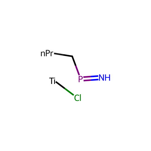 CCCCP=N.[Cl][Ti]